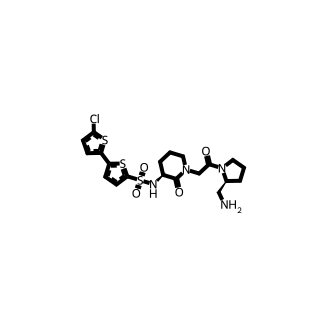 NC[C@@H]1CCCN1C(=O)CN1CCC[C@H](NS(=O)(=O)c2ccc(-c3ccc(Cl)s3)s2)C1=O